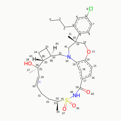 CCCc1cc(Cl)ccc1[C@]1(C)COc2ccc3cc2N(C[C@@H]2CC[C@H]2[C@](C)(O)/C=C/CC[C@H](C)S(=O)(=O)NC3=O)C1